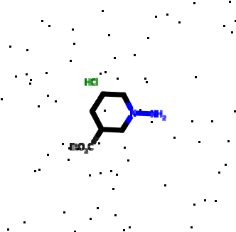 CCOC(=O)C1CCCN(N)C1.Cl